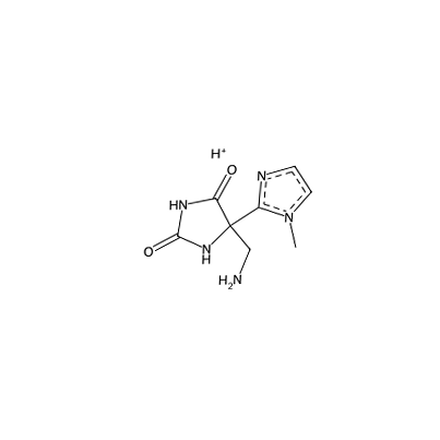 Cn1ccnc1C1(CN)NC(=O)NC1=O.[H+]